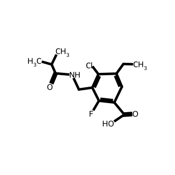 CCc1cc(C(=O)O)c(F)c(CNC(=O)C(C)C)c1Cl